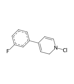 Fc1cccc(C2=CCN(Cl)C=C2)c1